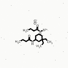 CCCC(=O)NC1CCCC(CC)(CC)C1.CCCC(=O)[NH][Ti+2].[Cl-].[Cl-]